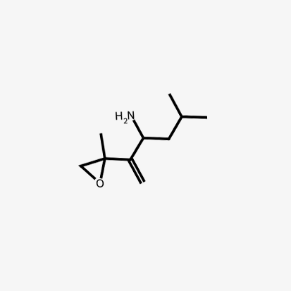 C=C(C(N)CC(C)C)C1(C)CO1